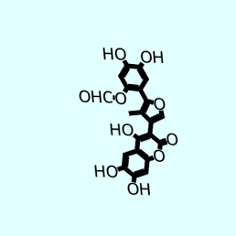 Cc1c(-c2c(O)c3cc(O)c(O)cc3oc2=O)coc1-c1cc(O)c(O)cc1OC=O